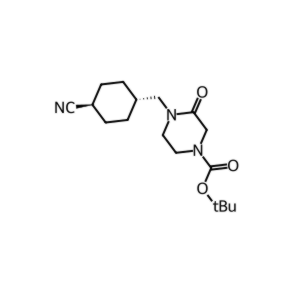 CC(C)(C)OC(=O)N1CCN(C[C@H]2CC[C@H](C#N)CC2)C(=O)C1